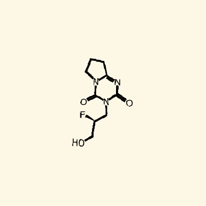 O=c1nc2n(c(=O)n1C[C@H](F)CO)CCC2